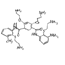 Cc1cccc(NC(=O)c2cc(C(=O)Nc3cccc(N)c3SCCN)c(OCCN)cc2OCCN)c1SCCN